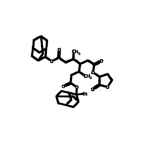 CCC1(OC(=O)CC(C)C(CC(=O)OC2CCOC2=O)C(C)CC(=O)OC2C3CC4CC(C3)CC2C4)C2CC3CC(C2)CC1C3